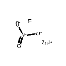 O=[N+]([O-])[O-].[F-].[Zn+2]